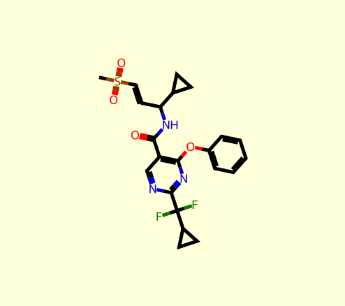 CS(=O)(=O)C=CC(NC(=O)c1cnc(C(F)(F)C2CC2)nc1Oc1ccccc1)C1CC1